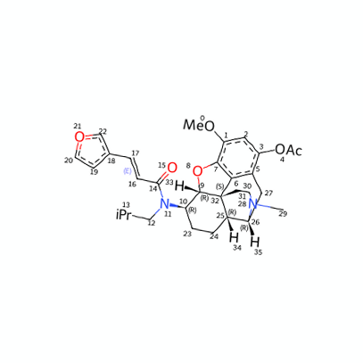 COc1cc(OC(C)=O)c2c3c1O[C@H]1[C@H](N(CC(C)C)C(=O)/C=C/c4ccoc4)CC[C@H]4[C@@H](C2)N(C)CC[C@@]341